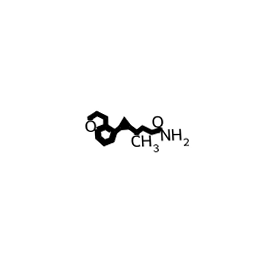 CC(CCC(N)=O)C1CC1c1cccc2c1CCCO2